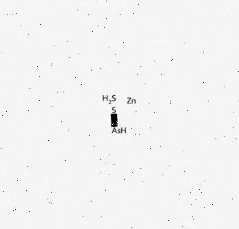 S.S=[AsH].[Zn]